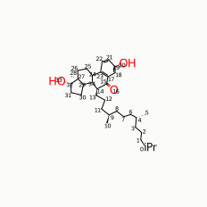 CC(C)CCC[C@@H](C)CCC[C@@H](C)CCC[C@@H]1C(=O)c2cc(O)ccc2C2CC[C@@]3(C)C(CC[C@@H]3O)C21